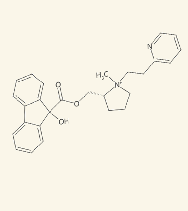 C[N+]1(CCc2ccccn2)CCC[C@@H]1COC(=O)C1(O)c2ccccc2-c2ccccc21